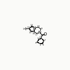 O=C(c1ccccc1)N1CCn2cc(I)cc2C1